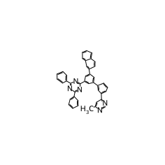 Cc1cc(-c2cccc(-c3cc(-c4ccc5ccccc5c4)cc(-c4nc(-c5ccccc5)nc(-c5ccccc5)n4)c3)c2)ncn1